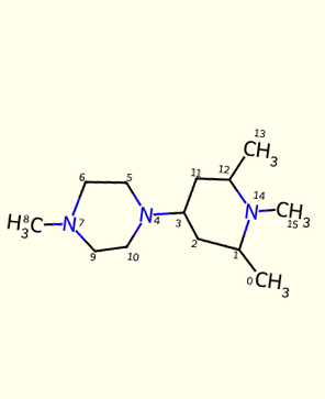 CC1CC(N2CCN(C)CC2)CC(C)N1C